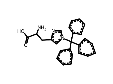 NC(Cc1cn(C(c2ccccc2)(c2ccccc2)c2ccccc2)cn1)C(=O)O